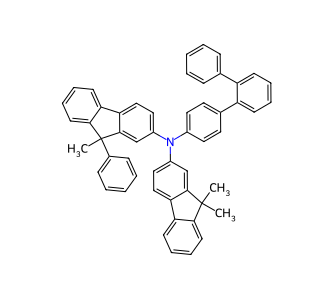 CC1(C)c2ccccc2-c2ccc(N(c3ccc(-c4ccccc4-c4ccccc4)cc3)c3ccc4c(c3)C(C)(c3ccccc3)c3ccccc3-4)cc21